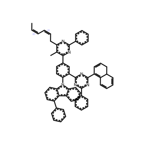 C/C=C\C=C/Cc1nc(-c2ccccc2)nc(-c2ccc(-n3c4ccccc4c4c(-c5ccccc5)cccc43)c(-c3nc(C4=C5C=CC=CC5CC=C4)nc(-c4ccccc4)n3)c2)c1C